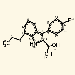 CCCc1cccc2c(-c3ccc(F)cc3)c(C(O)O)[nH]c12